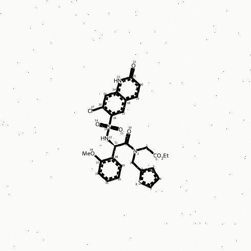 CCOC(=O)CN(Cc1cccs1)C(=O)[C@H](NS(=O)(=O)c1cc2ccc(=O)[nH]c2cc1Cl)c1ccccc1OC